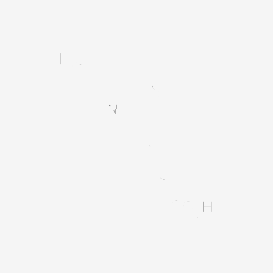 O=C(O)C12CC(c3nc(C(F)(F)F)cs3)(C1)C2